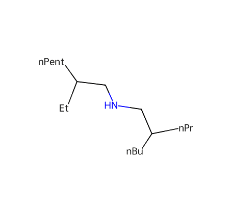 CCCCCC(CC)CNCC(CCC)CCCC